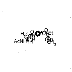 CCN(CCS(C)(=O)=O)C(=O)OCc1ccc(NC(=O)[C@H](C)NC(=O)[C@@H](NC(C)=O)C(C)C)cc1